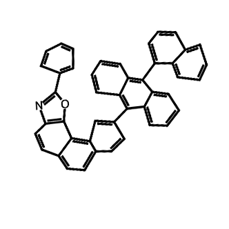 c1ccc(-c2nc3ccc4ccc5ccc(-c6c7ccccc7c(-c7cccc8ccccc78)c7ccccc67)cc5c4c3o2)cc1